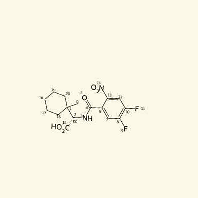 CC1([C@H](NC(=O)c2cc(F)c(F)cc2[N+](=O)[O-])C(=O)O)CCCCC1